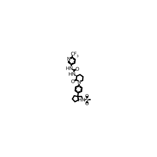 CS(=O)(=O)NCC1(c2ccc(N3CCC[C@H](NC(=O)Nc4ccc(C(F)(F)F)nc4)C3=O)cc2)CCCC1